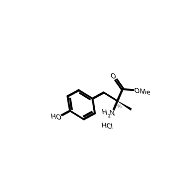 COC(=O)[C@](C)(N)Cc1ccc(O)cc1.Cl